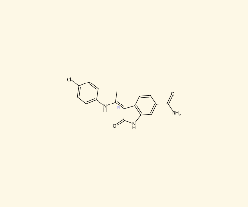 C/C(Nc1ccc(Cl)cc1)=C1/C(=O)Nc2cc(C(N)=O)ccc21